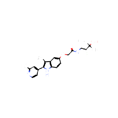 Cc1cc(-c2[nH]c3ccc(OCC(=O)NC[C@@H](F)C(C)(C)O)cc3c2C(C)C)ccn1